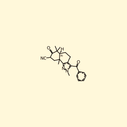 Cn1nc2c(c1C(=O)c1ccccc1)CC[C@H]1C(C)(C)C(=O)C(C#N)CC21C